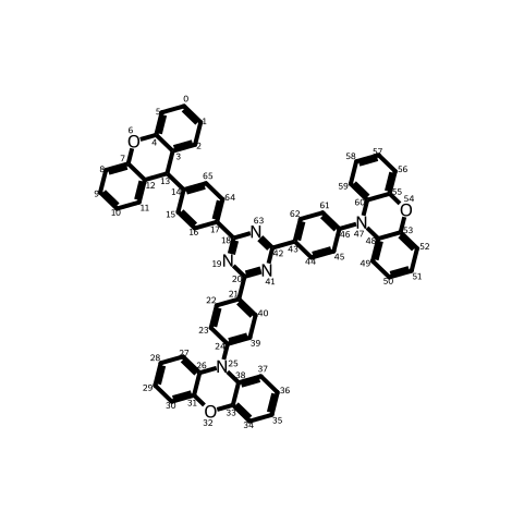 c1ccc2c(c1)Oc1ccccc1C2c1ccc(-c2nc(-c3ccc(N4c5ccccc5Oc5ccccc54)cc3)nc(-c3ccc(N4c5ccccc5Oc5ccccc54)cc3)n2)cc1